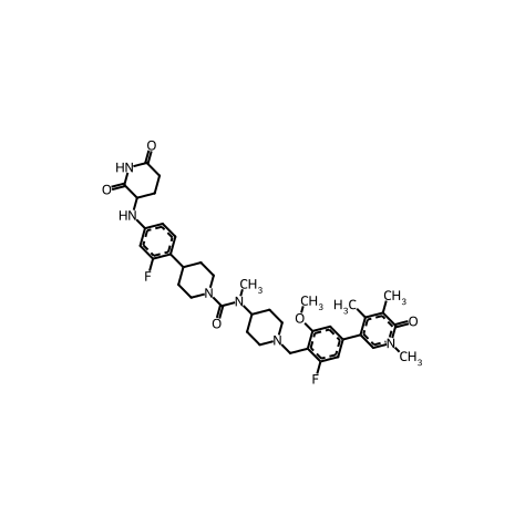 COc1cc(-c2cn(C)c(=O)c(C)c2C)cc(F)c1CN1CCC(N(C)C(=O)N2CCC(c3ccc(NC4CCC(=O)NC4=O)cc3F)CC2)CC1